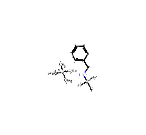 CC[Si](CC)(CC)NCc1ccccc1.CO[Si](C)(OC)OC